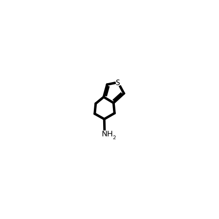 NC1CCc2cscc2C1